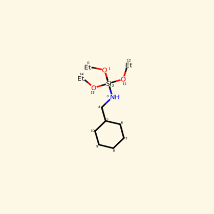 CCO[Si](NCC1CCCCC1)(OCC)OCC